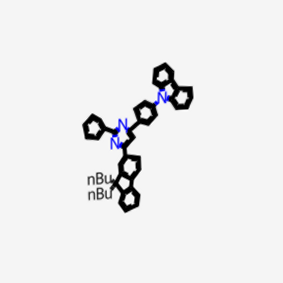 CCCCC1(CCCC)c2ccccc2-c2ccc(-c3cc(-c4ccc(-n5c6ccccc6c6ccccc65)cc4)nc(-c4ccccc4)n3)cc21